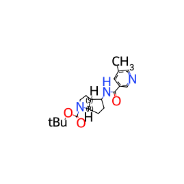 Cc1cncc(C(=O)NC2CC[C@@H]3[C@H]2CCN3C(=O)OC(C)(C)C)c1